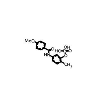 COc1ccc(C(=O)Nc2ccc(C)c(OP(=O)(O)O)c2)cc1